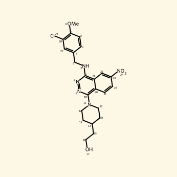 COc1ccc(CNc2nnc(N3CCC(CCO)CC3)c3ccc([N+](=O)[O-])cc23)cc1Cl